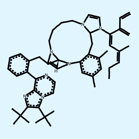 C=CC(=C)/C(=C\C(C)=C/CC)N1C=CN2CCCCN3C=CN(c4cc(C)cc(C)c4CC21)[C@@H]3CCc1ccccc1-c1nccn2c(C(C)(C)C)c(C(C)(C)C)nc12